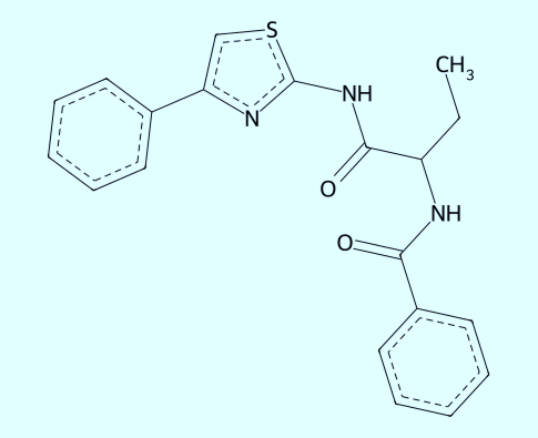 CCC(NC(=O)c1ccccc1)C(=O)Nc1nc(-c2ccccc2)cs1